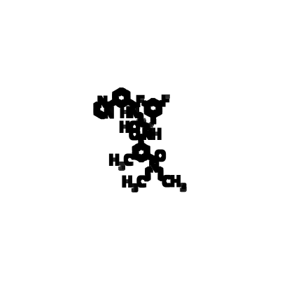 CCCN(CCC)C(=O)c1cc(C)cc(C(=O)N[C@@H](Cc2cc(F)cc(F)c2)[C@H](O)CNCc2cccc(-c3ncccn3)c2)c1